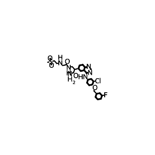 CS(=O)(=O)CCNCC(=O)NCC(C(N)=O)c1ccc2ncnc(Nc3ccc(OCc4cccc(F)c4)c(Cl)c3)c2c1